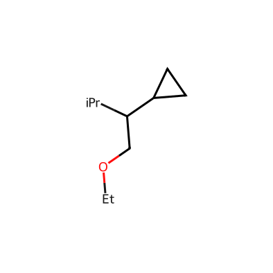 CCOCC(C(C)C)C1CC1